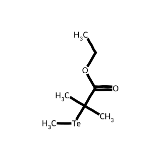 CCOC(=O)C(C)(C)[Te]C